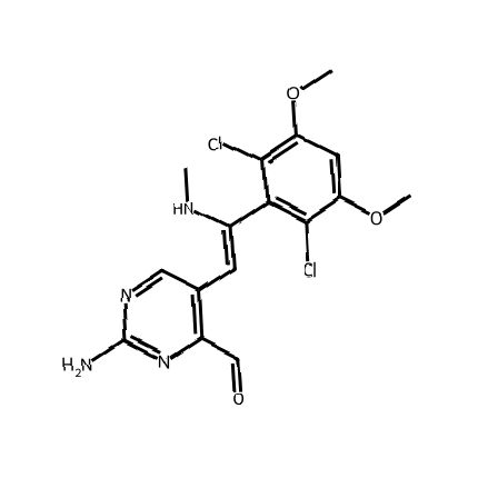 CN/C(=C\c1cnc(N)nc1C=O)c1c(Cl)c(OC)cc(OC)c1Cl